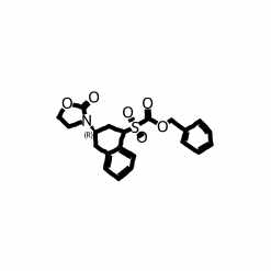 O=C1OCCN1[C@@H]1Cc2ccccc2C(S(=O)(=O)C(=O)OCc2ccccc2)C1